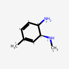 CN[C@H]1C=C(C)C=CC1N